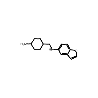 NC1CCC(CNc2ccc3occc3c2)CC1